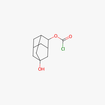 O=C(Cl)OC1C2CC3CC1CC(O)(C3)C2